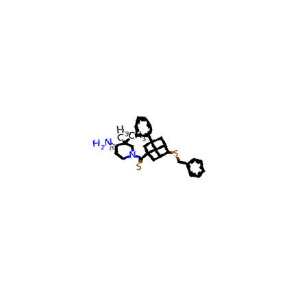 CC1(C)CN(C(=S)C23CC4C(SCc5ccccc5)C5CC(c6ccccc6)(C2)C453)CC[C@@H]1N